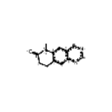 O=C1CCc2cc3ncncc3cc2N1